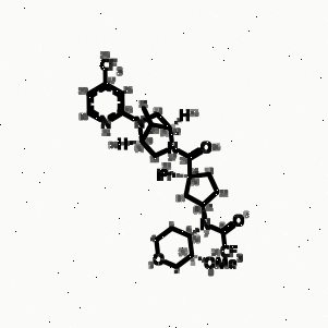 CO[C@@H]1COCC[C@@H]1N(C(=O)C(F)(F)F)[C@@H]1CC[C@@](C(=O)N2C[C@@H]3C(C)[C@H]2CN3c2cc(C(F)(F)F)ccn2)(C(C)C)C1